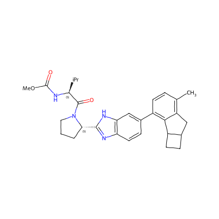 COC(=O)N[C@H](C(=O)N1CCC[C@H]1c1nc2ccc(-c3ccc(C)c4c3C3CCC3C4)cc2[nH]1)C(C)C